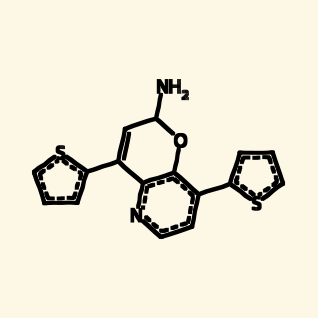 NC1C=C(c2cccs2)c2nccc(-c3cccs3)c2O1